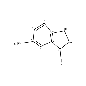 Fc1ccc2c(c1)C(I)CC2